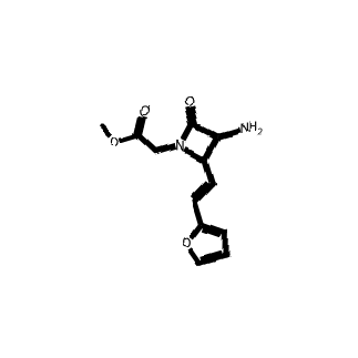 COC(=O)CN1C(=O)C(N)C1/C=C/c1ccco1